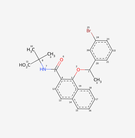 CC(Oc1c(C(=O)NC(C)(C)C(=O)O)ccc2ccccc12)c1cccc(Br)c1